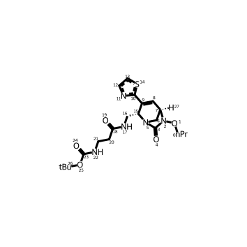 CCCON1C(=O)N2C[C@H]1C=C(c1nccs1)[C@H]2CNC(=O)CCNC(=O)OC(C)(C)C